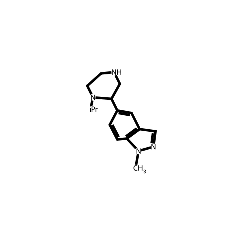 CC(C)N1CCNCC1c1ccc2c(cnn2C)c1